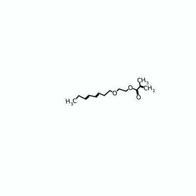 C=C(C)C(=O)OCCOCCC=CC=CCC